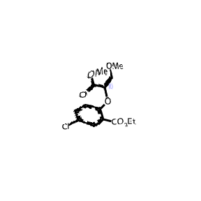 CCOC(=O)c1cc(Cl)ccc1O/C(=C/OC)C(=O)OC